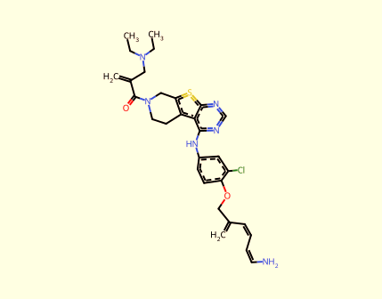 C=C(/C=C\C=C/N)COc1ccc(Nc2ncnc3sc4c(c23)CCN(C(=O)C(=C)CN(CC)CC)C4)cc1Cl